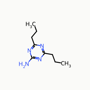 CCCc1nc(N)nc(CCC)n1